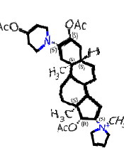 CC(=O)OC1CCN([C@H]2C[C@]3(C)C4CC[C@@]5(C)C(C[C@H]([N+]6(C)CCCC6)[C@@H]5OC(C)=O)C4CC[C@H]3C[C@@H]2OC(C)=O)CC1